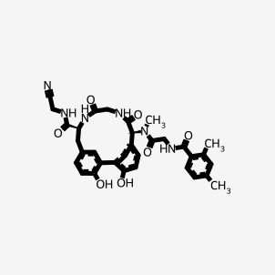 Cc1ccc(C(=O)NCC(=O)N(C)[C@@H]2C(=O)NCC(=O)N[C@H](C(=O)NCC#N)Cc3ccc(O)c(c3)-c3cc2ccc3O)c(C)c1